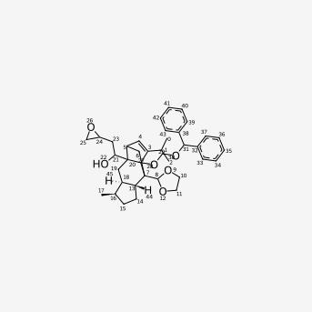 CC(C)C1=CC2CC3(C4OCCO4)[C@@H]4CC[C@@H](C)[C@H]4CC2(C(O)CC2CO2)C13OCOC(c1ccccc1)c1ccccc1